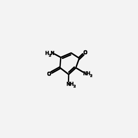 NC1=CC(=O)C(N)=C(N)C1=O